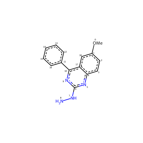 COc1ccc2nc(NN)nc(-c3ccccc3)c2c1